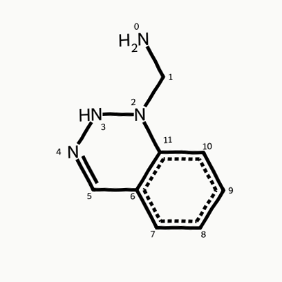 NCN1NN=Cc2ccccc21